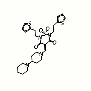 O=C1C(=CN2CCC(N3CCCCC3)CC2)C(=O)N(CCc2cccs2)S(=O)(=O)N1CCc1cccs1